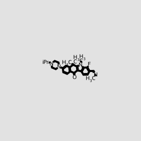 C/N=C\c1ccc2c3c(n(C)c2c1F)C(C)(C)c1cc(N2CCN(C(C)C)CC2)ccc1C3=O